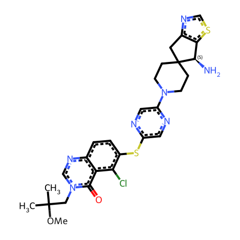 COC(C)(C)Cn1cnc2ccc(Sc3cnc(N4CCC5(CC4)Cc4ncsc4[C@H]5N)cn3)c(Cl)c2c1=O